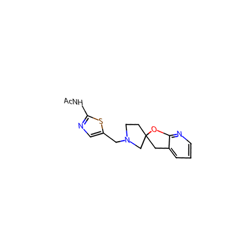 CC(=O)Nc1ncc(CN2CCC3(Cc4cccnc4O3)C2)s1